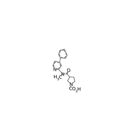 CN(C(=O)C1CCN(C(=O)O)C1)c1cc(-c2ccccc2)ccn1